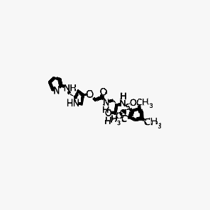 Cc1cc(C)c(S(=O)(=O)N[C@@H](CNC(=O)CO[C@H]2CN[C@H](CNc3ccccn3)C2)C(=O)O)c(C)c1